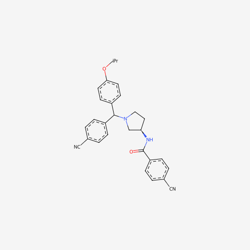 CC(C)Oc1ccc(C(c2ccc(C#N)cc2)N2CC[C@@H](NC(=O)c3ccc(C#N)cc3)C2)cc1